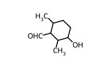 CC1CCC(O)C(C)C1C=O